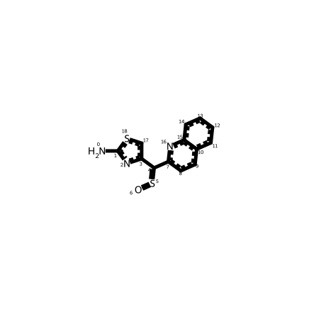 Nc1nc(C(=S=O)c2ccc3ccccc3n2)cs1